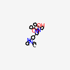 OC1(c2ccccc2)c2ccccc2C(O)(c2ccccc2)c2c1nc1ccc(-c3ccc(-c4nc5ccccc5n4-c4ccccc4)cc3)cn21